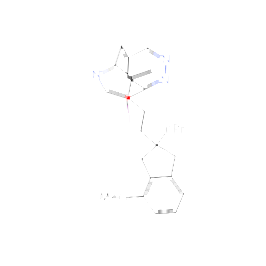 C=C(CCCC1(CCC)Cc2cccc(OC)c2C1)C1=N\C=C(\I)C2=NN=C/C(=C\1)C2